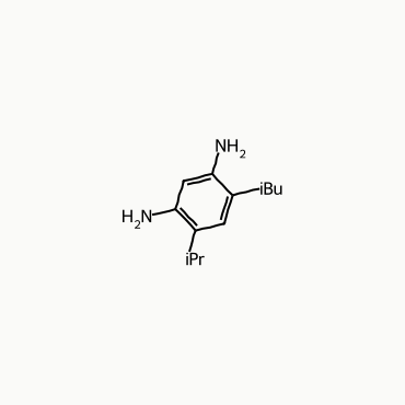 CCC(C)c1cc(C(C)C)c(N)cc1N